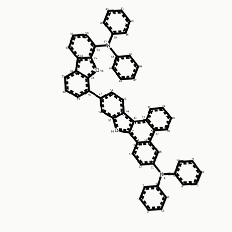 c1ccc(N(c2ccccc2)c2ccc3c(c2)c2ccccc2c2c4ccc(-c5cccc6c5oc5c(N(c7ccccc7)c7ccccc7)cccc56)cc4oc32)cc1